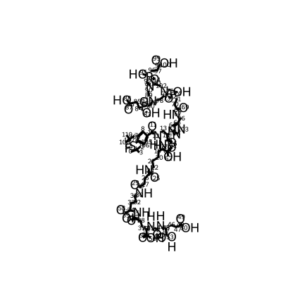 CC(C)(C)S(F)(c1ccc(C(=O)NCC(C(=O)NC(CCCCNC(=O)CCC(=O)NCCCC(NC(=O)CC[C@H](NC(=O)N[C@@H](CCC(=O)O)C(=O)O)C(=O)O)C(=O)O)C(=O)O)n2cc(CNC(=O)CCP(=O)(O)CN3CCN(CP(=O)(O)CCC(=O)O)CCN(CP(=O)(O)CCC(=O)O)CC3)nn2)cc1)C(C)(C)C